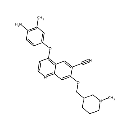 Cc1cc(Oc2ccnc3cc(OCC4CCCN(C)C4)c(C#N)cc23)ccc1N